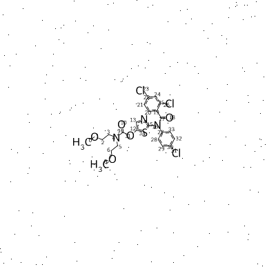 COCCN(CCOC)C(=O)Oc1cnc(N(C(=O)c2ccc(Cl)cc2Cl)c2ccc(Cl)cc2)s1